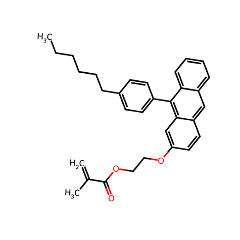 C=C(C)C(=O)OCCOc1ccc2cc3ccccc3c(-c3ccc(CCCCCC)cc3)c2c1